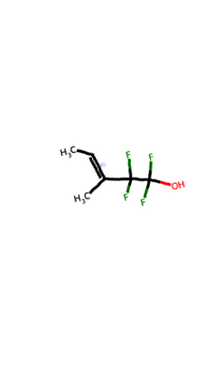 C/C=C(\C)C(F)(F)C(O)(F)F